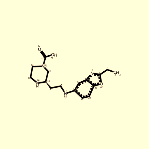 CCc1nc2cc(NCC[C@@H]3CN(C(=O)O)CCN3)ccc2o1